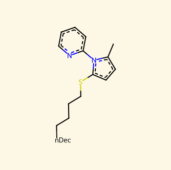 CCCCCCCCCCCCCCSc1ccc(C)n1-c1ccccn1